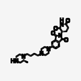 C[C@H]1CNCCN1CCCCN1CCN(c2ccc3c(c2)C(=O)N(C2CCC(=O)NC2=O)C3=O)CC1